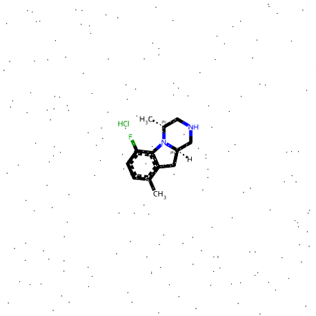 Cc1ccc(F)c2c1C[C@@H]1CNC[C@@H](C)N21.Cl